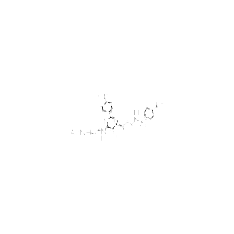 CCc1ccc(C(=O)NCCNc2nc(-c3ccc(Cl)cc3)nc(NCCNC(C)=O)c2C)cc1